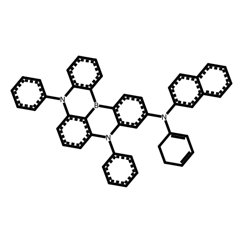 C1=CCCC(N(c2ccc3c(c2)N(c2ccccc2)c2cccc4c2B3c2ccccc2N4c2ccccc2)c2ccc3ccccc3c2)=C1